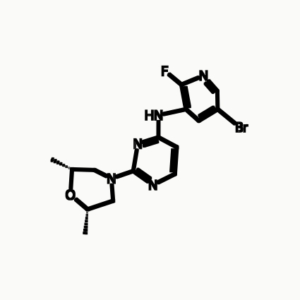 C[C@@H]1CN(c2nccc(Nc3cc(Br)cnc3F)n2)C[C@H](C)O1